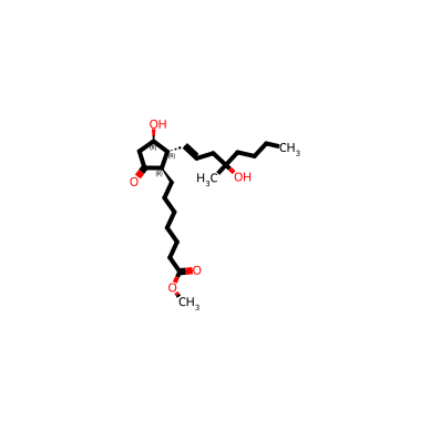 CCCCC(C)(O)CC=C[C@H]1[C@H](O)CC(=O)[C@@H]1CCCCCCC(=O)OC